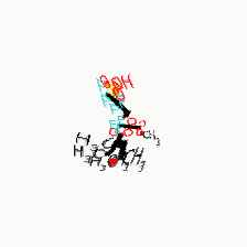 COC(=O)C(OCCC(F)(F)C(F)(F)S(=O)(=O)O)(OC(=O)C(C)(CC(C)C)C(C)C)C(F)(F)F